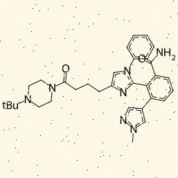 Cn1cc(-c2cccc(C(N)=O)c2-c2nc(CCCC(=O)N3CCN(C(C)(C)C)CC3)cn2-c2ccccc2)cn1